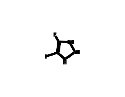 FC1=C(I)NNN1